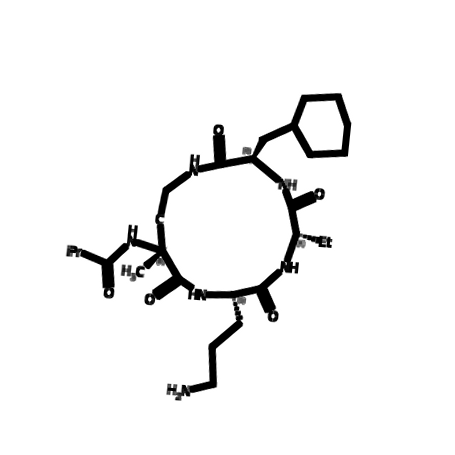 CC[C@@H]1NC(=O)[C@H](CCCN)NC(=O)[C@](C)(NC(=O)C(C)C)CCNC(=O)[C@@H](CC2CCCCC2)NC1=O